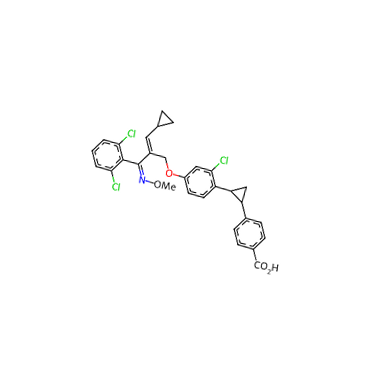 CO/N=C(\C(=C\C1CC1)COc1ccc(C2CC2c2ccc(C(=O)O)cc2)c(Cl)c1)c1c(Cl)cccc1Cl